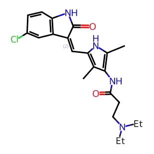 CCN(CC)CCC(=O)Nc1c(C)[nH]c(/C=C2\C(=O)Nc3ccc(Cl)cc32)c1C